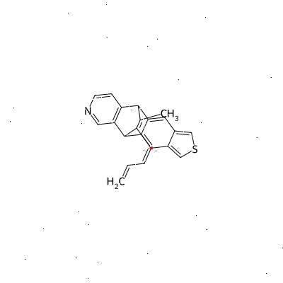 C=C/C=C\C1=C(C)C2c3ccncc3C1c1cc3cscc3cc12